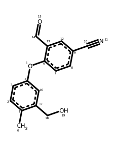 Cc1ccc(Oc2ccc(C#N)cc2C=O)cc1CO